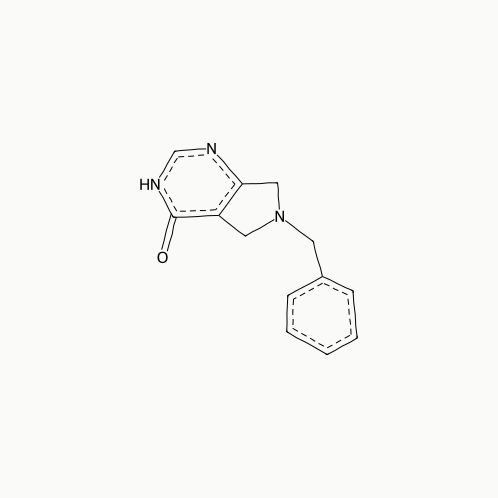 O=c1[nH]cnc2c1CN(Cc1ccccc1)C2